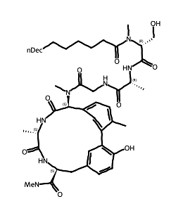 CCCCCCCCCCCCCCCC(=O)N(C)[C@H](CO)C(=O)N[C@H](C)C(=O)NCC(=O)N(C)[C@@H]1C(=O)N[C@@H](C)C(=O)N[C@H](C(=O)NC)Cc2ccc(O)c(c2)-c2cc1ccc2C